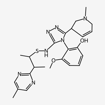 COc1cccc(O)c1-n1c(NSC(C)C(C)c2ncc(C)cn2)nnc1C1C=CCN(C)C1